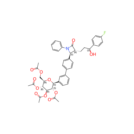 CC(=O)OC[C@H]1O[C@@H](c2cccc(-c3ccc([C@@H]4[C@@H](CC[C@H](O)c5ccc(F)cc5)C(=O)N4c4ccccc4)cc3)c2)[C@H](OC(C)=O)[C@@H](OC(C)=O)[C@@H]1OC(C)=O